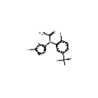 NC(=O)N(c1ncc(Br)s1)c1cc(C(F)(F)F)ccc1F